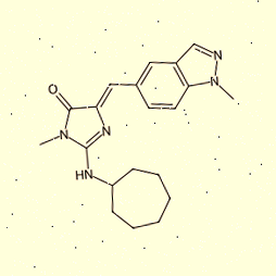 CN1C(=O)/C(=C/c2ccc3c(cnn3C)c2)N=C1NC1CCCCCC1